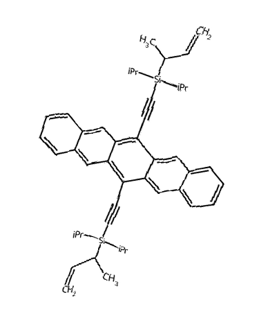 C=CC(C)[Si](C#Cc1c2cc3ccccc3cc2c(C#C[Si](C(C)C)(C(C)C)C(C)C=C)c2cc3ccccc3cc12)(C(C)C)C(C)C